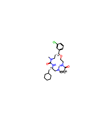 COC(=O)NCCO[C@H](CCN(C)C(=O)N[C@@H](CC1CCCCC1)CN(C)C(=O)O)c1cccc(Cl)c1